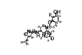 C[C@H](N)C(=O)NC[C@@H](Cc1ccc(O)c(I)c1)C(=O)N1CCC(NCc2cc(C3CC3)on2)CC1